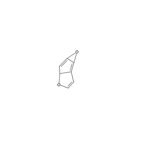 C1=CC2=C3OC3=CC2O1